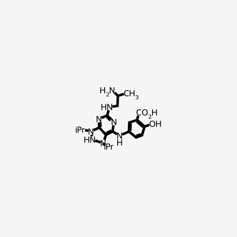 CC(N)CNc1nc(Nc2ccc(O)c(C(=O)O)c2)c2c(n1)N(C(C)C)NN2C(C)C